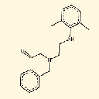 Cc1cccc(C)c1NCCN(CC=O)Cc1ccccc1